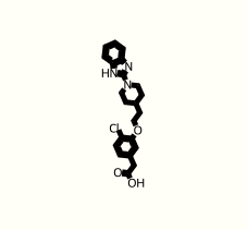 O=C(O)Cc1ccc(Cl)c(OCCC2CCN(c3nc4ccccc4[nH]3)CC2)c1